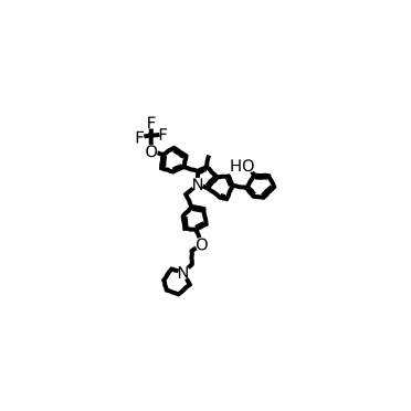 Cc1c(-c2ccc(OC(F)(F)F)cc2)n(Cc2ccc(OCCN3CCCCC3)cc2)c2ccc(-c3ccccc3O)cc12